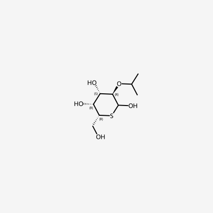 CC(C)O[C@H]1C(O)S[C@H](CO)[C@H](O)[C@@H]1O